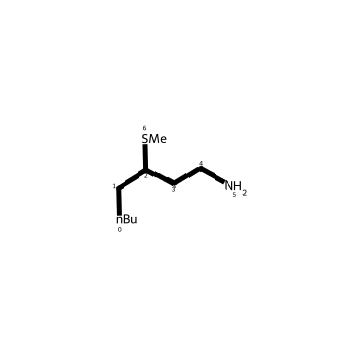 CCCCCC(CCN)SC